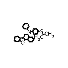 CC(C)Sc1ccc(N(c2ccccc2)c2cc3c4ccccc4oc3c3ccccc23)cc1